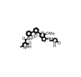 COc1nc(-c2cccc(-c3cccc(NC(=O)c4cc(C)n[nH]c4=O)c3Cl)c2Cl)cc2c1C(NCC1CCC(=O)N1)CC2